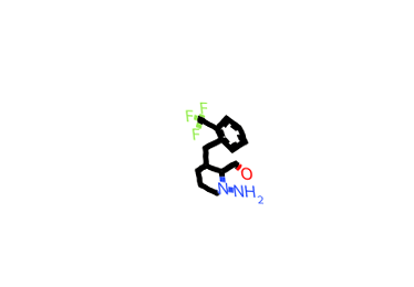 NN1CCCC(Cc2ccccc2C(F)(F)F)C1C=O